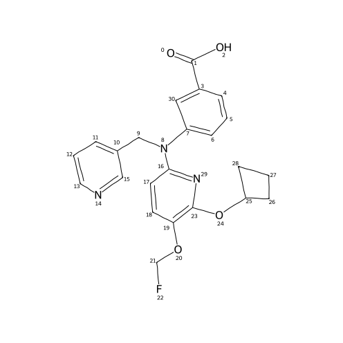 O=C(O)c1cccc(N(Cc2cccnc2)c2ccc(OCF)c(OC3CCC3)n2)c1